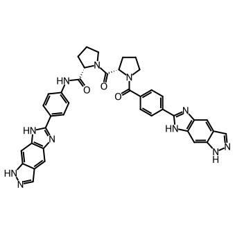 O=C(Nc1ccc(-c2nc3cc4cn[nH]c4cc3[nH]2)cc1)[C@@H]1CCCN1C(=O)[C@@H]1CCCN1C(=O)c1ccc(-c2nc3cc4cn[nH]c4cc3[nH]2)cc1